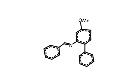 COc1ccc(-c2ccccc2)c(N=Cc2ccccc2)c1